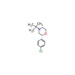 CC(C)(C)N1CCO[C@H](c2ccc(Cl)cc2)C1